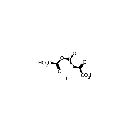 O=C(O)C(=O)OB([O-])OC(=O)C(=O)O.[Li+]